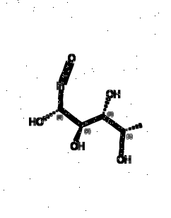 C[C@H](O)[C@@H](O)[C@@H](O)[C@H](O)[In]=[O]